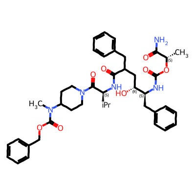 CC(C)[C@H](NC(=O)C(Cc1ccccc1)C[C@@H](O)[C@H](Cc1ccccc1)NC(=O)O[C@@H](C)C(N)=O)C(=O)N1CCC(N(C)C(=O)OCc2ccccc2)CC1